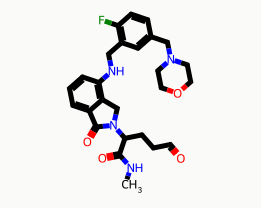 CNC(=O)C(CCC=O)N1Cc2c(NCc3cc(CN4CCOCC4)ccc3F)cccc2C1=O